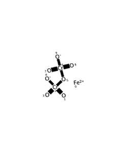 [Fe+2].[O]=[Cr](=[O])([O-])[O][Cr](=[O])(=[O])[O-]